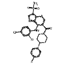 NS(=O)(=O)c1cnn2c(Nc3ccc(Cl)cc3Cl)c(C(=O)N3CCC(c4ccc(F)cc4)CC3)cnc12